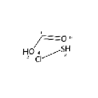 O=CO.SCl